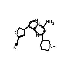 N#CC1=CC(c2cnn3c(N)cc(C4CCCNC4)nc23)CO1